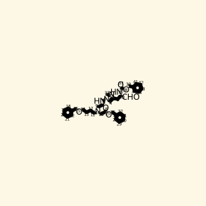 O=C[C@H](Cc1cn(NC(=O)CN(CCCCOCc2ccccc2)CCOCc2ccccc2)cn1)NC(=O)OCc1ccccc1